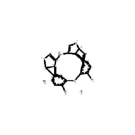 Brc1ccc2c3c1Sc1c(Br)ccc4c1=CC1SC=[C]([Zr+2][C]5=CSC(C=3)C=25)C=41.[Cl-].[Cl-]